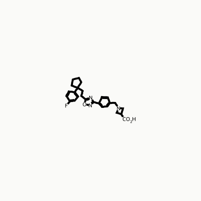 O=C(O)C1CN(Cc2ccc(-c3noc(CCC4(c5ccc(F)cc5)CCCC4)n3)cc2)C1